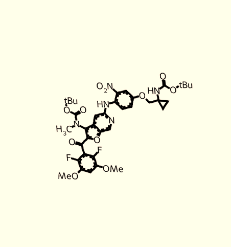 COc1cc(OC)c(F)c(C(=O)c2oc3cnc(Nc4ccc(OCC5(NC(=O)OC(C)(C)C)CC5)cc4[N+](=O)[O-])cc3c2N(C)C(=O)OC(C)(C)C)c1F